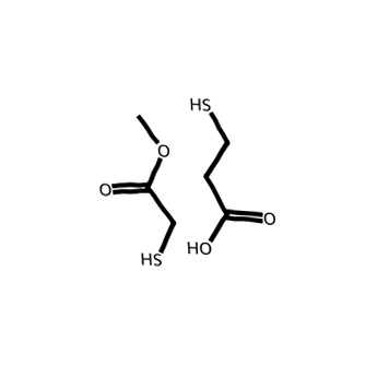 COC(=O)CS.O=C(O)CCS